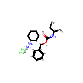 C1CCCCC1.CC(C)CC(C)NC(=O)OCc1ccccc1.Cl.Cl.N.N